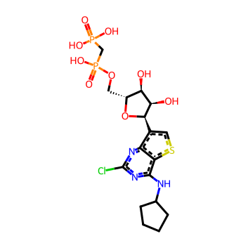 O=P(O)(O)CP(=O)(O)OC[C@H]1O[C@H](c2csc3c(NC4CCCC4)nc(Cl)nc23)[C@H](O)[C@@H]1O